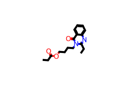 CCC(=O)OCCCCn1c(CC)nc2ccccc2c1=O